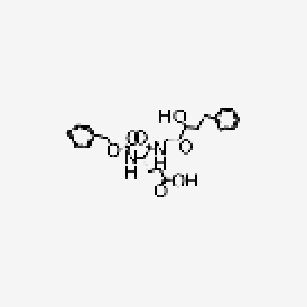 O=C(O)CC[C@H](NC(=O)OCc1ccccc1)C(=O)NCC(=O)C(O)CCc1ccccc1